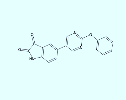 O=C1Nc2ccc(-c3cnc(Oc4ccccc4)nc3)cc2C1=O